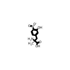 C[C@](N)(Cc1ccc([N+](=O)[O-])c(O)c1)C(=O)O